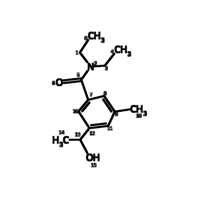 CCN(CC)C(=O)c1cc(C)cc(C(C)O)c1